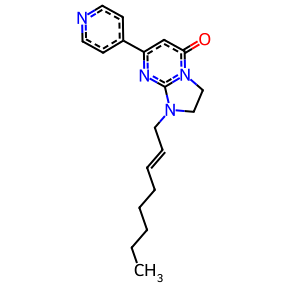 CCCCCC=CCN1CCn2c1nc(-c1ccncc1)cc2=O